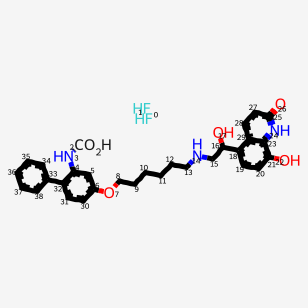 F.F.O=C(O)Nc1cc(OCCCCCCNCC(O)c2ccc(O)c3[nH]c(=O)ccc23)ccc1-c1ccccc1